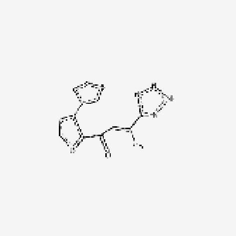 O=C(C=C(O)c1nn[nH]n1)c1occc1-c1ccsc1